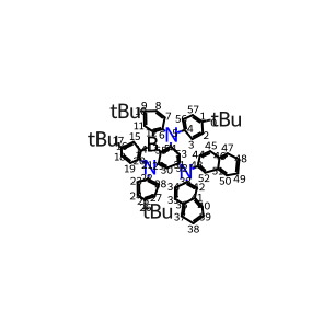 CC(C)(C)c1ccc(N2c3ccc(C(C)(C)C)cc3B3c4cc(C(C)(C)C)ccc4N(c4ccc(C(C)(C)C)cc4)c4cc(N(c5ccc6ccccc6c5)c5ccc6ccccc6c5)cc2c43)cc1